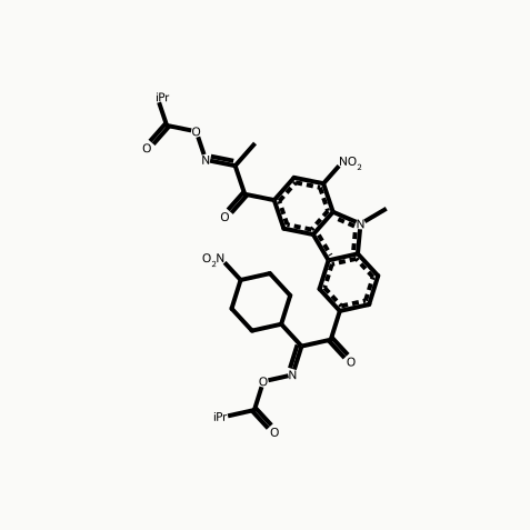 C/C(=N\OC(=O)C(C)C)C(=O)c1cc([N+](=O)[O-])c2c(c1)c1cc(C(=O)/C(=N/OC(=O)C(C)C)C3CCC([N+](=O)[O-])CC3)ccc1n2C